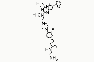 CN(CCN1CCN(c2ccc(OCC(=O)NCCN)cc2F)CC1)c1nc(N)n2nc(-c3ccco3)cc2n1